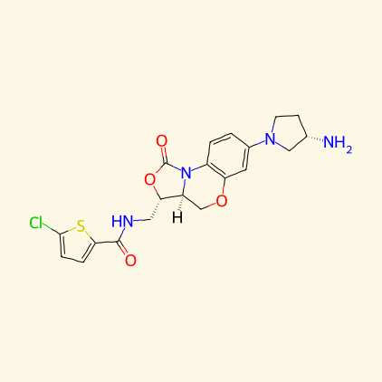 N[C@H]1CCN(c2ccc3c(c2)OC[C@H]2[C@H](CNC(=O)c4ccc(Cl)s4)OC(=O)N32)C1